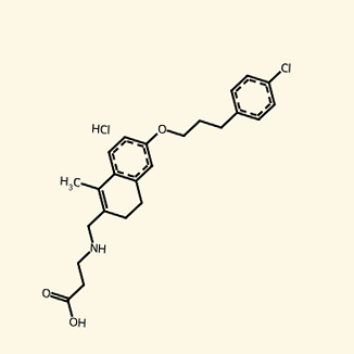 CC1=C(CNCCC(=O)O)CCc2cc(OCCCc3ccc(Cl)cc3)ccc21.Cl